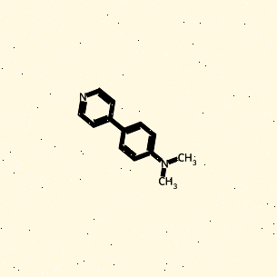 CN(C)c1ccc(-c2c[c]ncc2)cc1